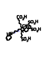 CC1(CCCCCC(=O)O)c2c(ccc3c(S(=O)(=O)O)cc(S(=O)(=O)O)cc23)N(CCCS(=O)(=O)O)C1/C=C/C=C/Nc1ccccc1